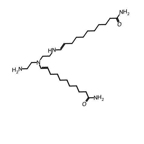 NCCN(C=CCCCCCCCCC(N)=O)CCNC=CCCCCCCCCC(N)=O